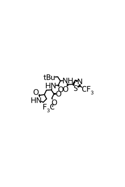 CC(C)(C)CC(NC(=O)c1cnc(C(F)(F)F)s1)C(=O)NC(CC1CCNC1=O)C(=O)COC(F)(F)F